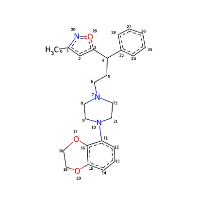 Cc1cc(C(CCN2CCN(c3cccc4c3OCCO4)CC2)c2ccccc2)on1